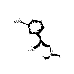 COc1cccc(C(C=O)=CN(C)C)c1